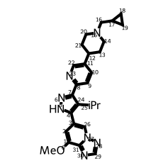 COc1cc(-c2[nH]nc(-c3ccc(C4CCN(CC5CC5)CC4)cn3)c2C(C)C)cn2ncnc12